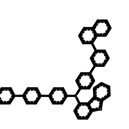 c1ccc(-c2ccc(-c3ccc(N(c4ccc(-c5cccc(-c6cccc7ccccc67)c5)cc4)c4cccc5oc6ccccc6c45)cc3)cc2)cc1